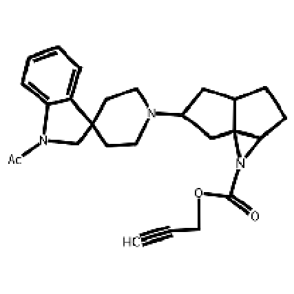 C#CCOC(=O)N1C2CCC3CC(N4CCC5(CC4)CN(C(C)=O)c4ccccc45)CC321